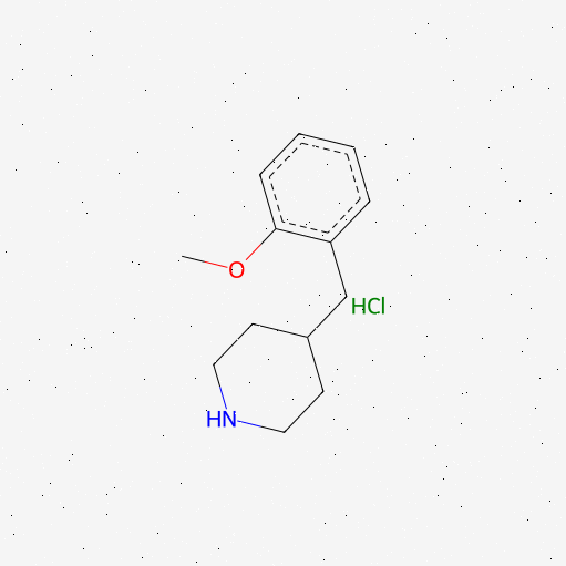 COc1ccccc1CC1CCNCC1.Cl